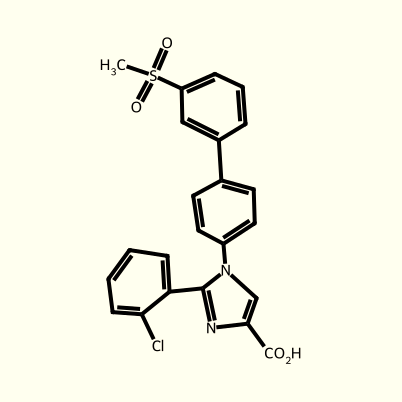 CS(=O)(=O)c1cccc(-c2ccc(-n3cc(C(=O)O)nc3-c3ccccc3Cl)cc2)c1